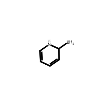 BC1C=CC=CN1